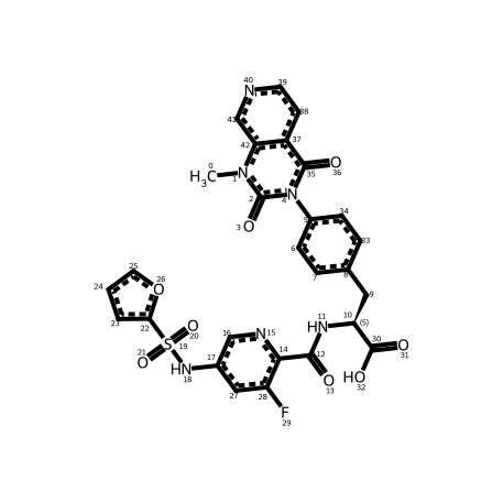 Cn1c(=O)n(-c2ccc(C[C@H](NC(=O)c3ncc(NS(=O)(=O)c4ccco4)cc3F)C(=O)O)cc2)c(=O)c2ccncc21